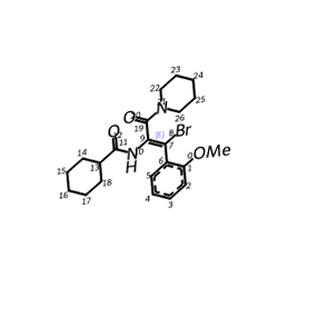 COc1ccccc1/C(Br)=C(\NC(=O)C1CCCCC1)C(=O)N1CCCCC1